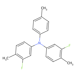 Cc1ccc(N(c2ccc(C)c(F)c2)c2ccc(C)c(F)c2)cc1